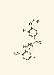 Cc1ccc(N)c(N)c1CNC(=O)c1ccc(OC(F)F)c(F)c1